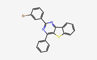 Brc1cccc(-c2nc(-c3ccccc3)c3sc4ccccc4c3n2)c1